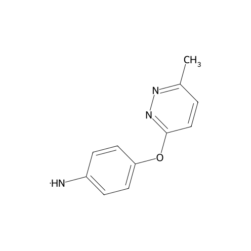 Cc1ccc(Oc2ccc([NH])cc2)nn1